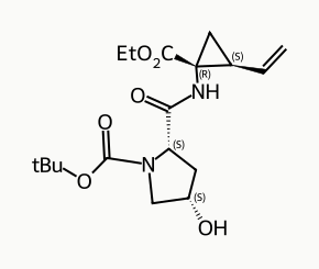 C=C[C@@H]1C[C@]1(NC(=O)[C@@H]1C[C@H](O)CN1C(=O)OC(C)(C)C)C(=O)OCC